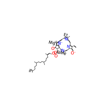 C=CC1=C2C=C3N=C(C=c4[n-]c5c(c4C)C(=O)[C@H](C(=O)OC)C=5C4=NC(=CC(=N2)C1=C[O-])[C@@H](C)[C@@H]4CCC(=O)OCC=C(C)CCCC(C)CCCC(C)CCCC(C)C)C(CC)=C3C.[Mg+2]